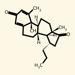 CCC[C@H]1CC(=O)[C@@]2(C)CC[C@H]3[C@@H](CCC4=CC(=O)C=C(C)[C@@]43C)[C@H]12